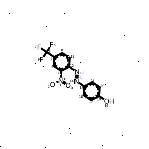 O=[N+]([O-])c1cc(C(F)(F)F)ccc1/N=N/c1ccc(O)cc1